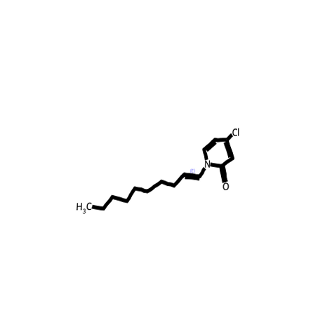 CCCCCCCC/C=C/n1ccc(Cl)cc1=O